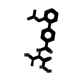 C[C@@H](O)[C@H](NC(=O)c1ccc(-c2ccccc2CN(C)C)cc1)C(=O)NO